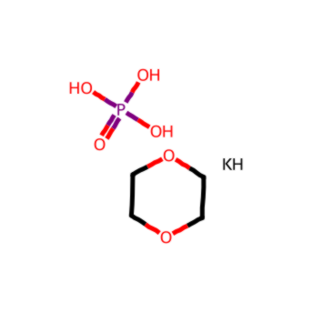 C1COCCO1.O=P(O)(O)O.[KH]